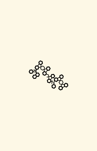 CC1(Cc2cccc3c2-c2ccccc2C32CCC3(CC2)c2ccccc2-c2ccc(N(c4ccccc4)c4cccc5ccccc45)cc23)c2ccccc2-c2c(N(c3ccccc3)c3ccc4c(c3)C3(CCC5(CC3)c3ccccc3-c3ccccc35)c3ccccc3-4)cccc21